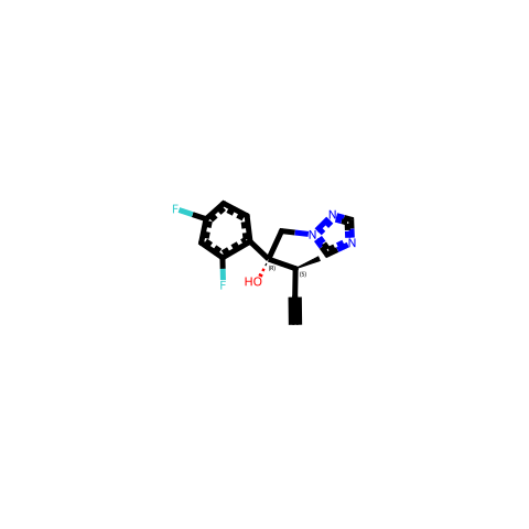 C#C[C@H](C)[C@](O)(Cn1cncn1)c1ccc(F)cc1F